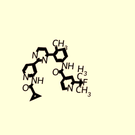 Cc1ccc(NC(=O)c2ccnc(C(C)(C)F)c2)cc1-c1ccnc(-c2ccnc(NC(=O)C3CC3)c2)n1